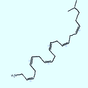 CC(C)CC/C=C\C/C=C\C/C=C\C/C=C\C/C=C\C/C=C\CN